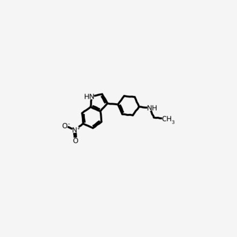 CCNC1CC=C(c2c[nH]c3cc([N+](=O)[O-])ccc23)CC1